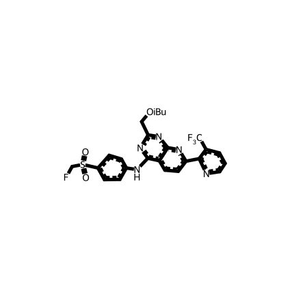 CC(C)COCc1nc(Nc2ccc(S(=O)(=O)CF)cc2)c2ccc(-c3ncccc3C(F)(F)F)nc2n1